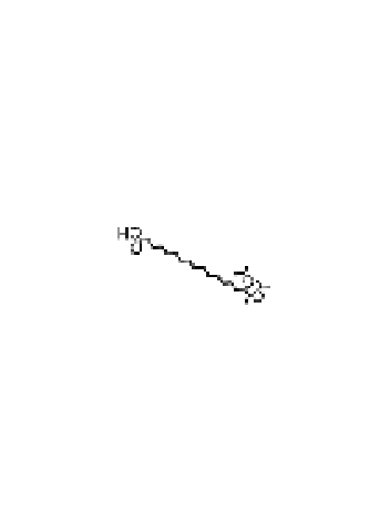 CC(C)OC(C)C(CC=CCCCCCCCCCCCC(=O)O)OC(C)C